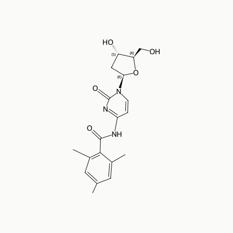 Cc1cc(C)c(C(=O)Nc2ccn([C@H]3C[C@H](O)[C@@H](CO)O3)c(=O)n2)c(C)c1